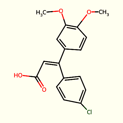 COc1ccc(C(=CC(=O)O)c2ccc(Cl)cc2)cc1OC